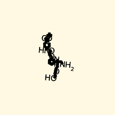 CC(C)(C)OC(=O)N1CCC(NC(=O)COc2cccc3c2nc(CN)n3CCOCCO)CC1